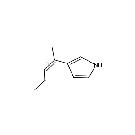 CC/C=C(/C)c1cc[nH]c1